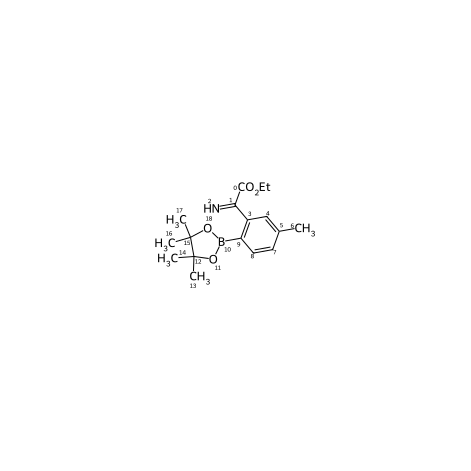 CCOC(=O)C(=N)c1cc(C)ccc1B1OC(C)(C)C(C)(C)O1